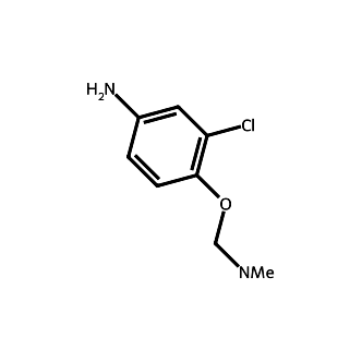 CNCOc1ccc(N)cc1Cl